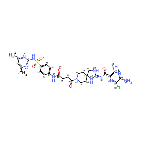 Cc1cc(C)nc(NS(=O)(=O)c2ccc(NC(=O)CCC(=O)N3CCC4(CC3)CN/C(=N\C(=O)c3nc(Cl)c(N)nc3N)N4)cc2)n1